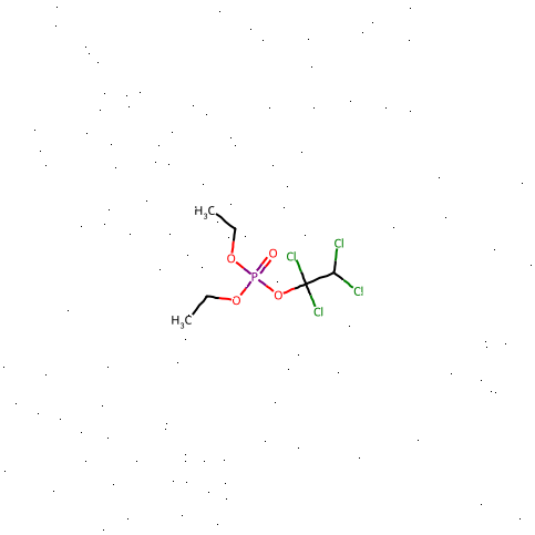 CCOP(=O)(OCC)OC(Cl)(Cl)C(Cl)Cl